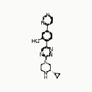 Oc1cc(-c2ccncn2)ccc1-c1cnc(N2CCN[C@@H](C3CC3)C2)nn1